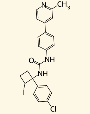 Cc1cc(-c2ccc(NC(=O)NC3(c4ccc(Cl)cc4)CCC3I)cc2)ccn1